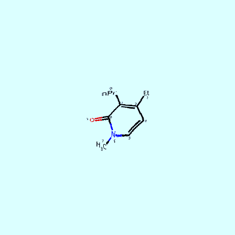 CCCc1c(CC)ccn(C)c1=O